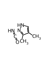 Cc1c[nH]nc1C.N=C=O